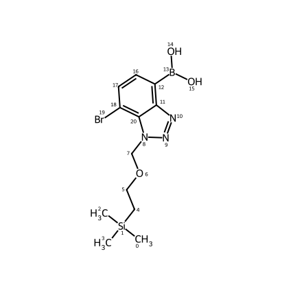 C[Si](C)(C)CCOCn1nnc2c(B(O)O)ccc(Br)c21